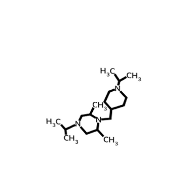 CC(C)N1CCC(CN2C(C)CN(C(C)C)CC2C)CC1